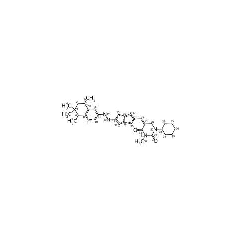 CC1CC(C)(C)C(C)c2ccc(/N=N/c3cc4sc(/C=C5/CN(C6CCCCC6)C(=O)N(C)C5=O)cc4s3)cc21